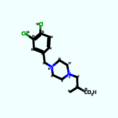 CC(CN1CCN(Cc2ccc(Cl)c(Cl)c2)CC1)C(=O)O